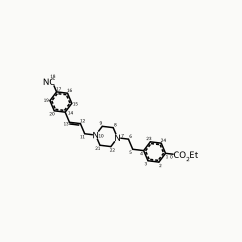 CCOC(=O)c1ccc(CCN2CCN(CC=Cc3ccc(C#N)cc3)CC2)cc1